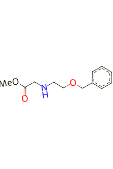 COC(=O)CNCCOCc1ccccc1